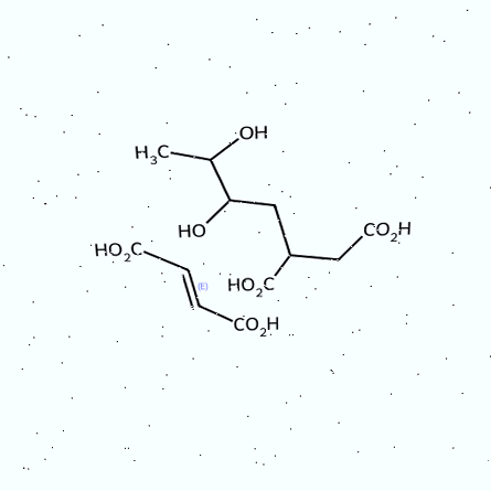 CC(O)C(O)CC(CC(=O)O)C(=O)O.O=C(O)/C=C/C(=O)O